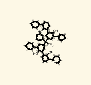 CC(c1ccccc1)(c1cc(-c2ccccc2)c(O)c(-c2cccc(-c3ccccc3)c2O)c1)c1cc(-c2ccccc2)c(O)c(-c2cccc(-c3ccccc3)c2O)c1